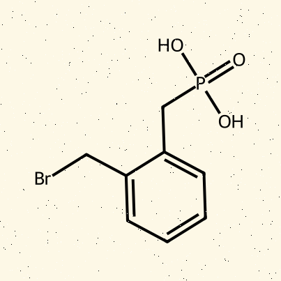 O=P(O)(O)Cc1ccccc1CBr